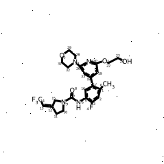 Cc1cc(F)c(NC(=O)N2CC/C(=C/C(F)(F)F)C2)cc1-c1cc(OCCO)nc(N2CCOCC2)c1